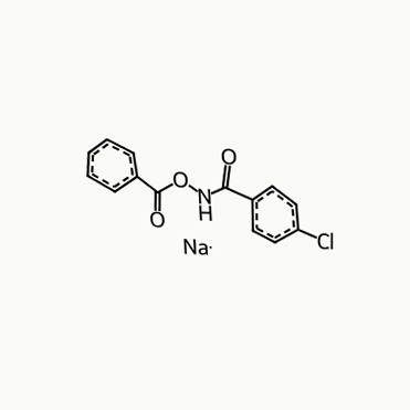 O=C(NOC(=O)c1ccccc1)c1ccc(Cl)cc1.[Na]